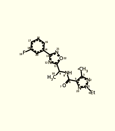 CCn1nc(C)c(C(=O)NC(C)c2nc(-c3cccc(F)c3)no2)n1